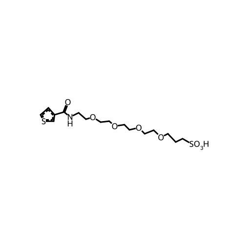 O=C(NCCOCCOCCOCCOCCCS(=O)(=O)O)c1ccsc1